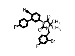 CC1(C)C(=O)N(c2ccc(C#N)c(-c3ccc(F)cc3)c2)C(=O)N1Cc1ccc(F)cc1Br